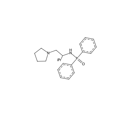 CC(C)C(CN1CCCC1)NP(=O)(c1ccccc1)c1ccccc1